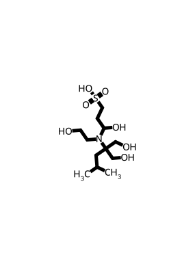 CC(C)CC(CO)(CO)N(CCO)C(O)CCS(=O)(=O)O